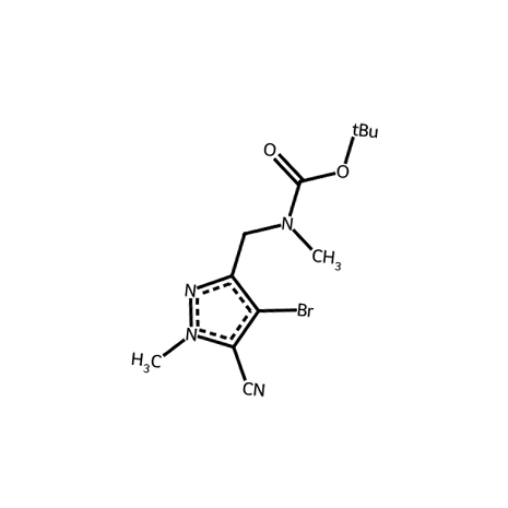 CN(Cc1nn(C)c(C#N)c1Br)C(=O)OC(C)(C)C